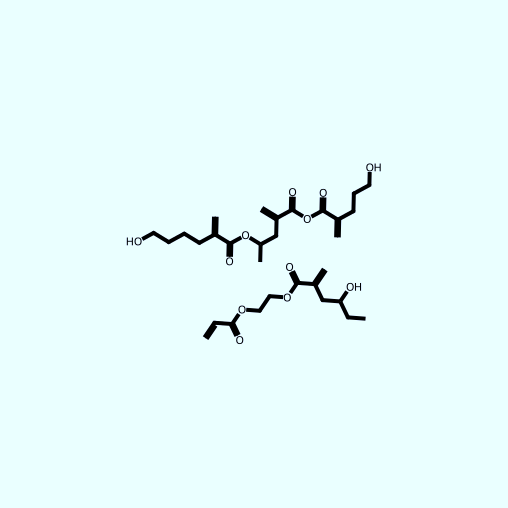 C=C(CCCO)C(=O)OC(=O)C(=C)CC(C)OC(=O)C(=C)CCCCO.C=CC(=O)OCCOC(=O)C(=C)CC(O)CC